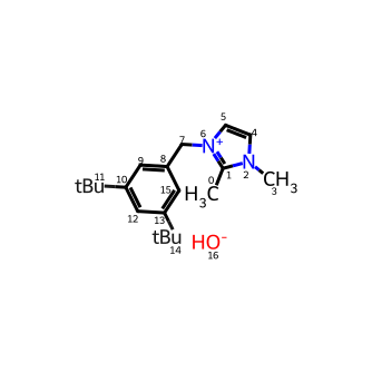 Cc1n(C)cc[n+]1Cc1cc(C(C)(C)C)cc(C(C)(C)C)c1.[OH-]